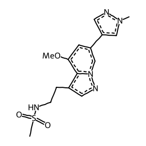 COc1cc(-c2cnn(C)c2)cn2ncc(CCNS(C)(=O)=O)c12